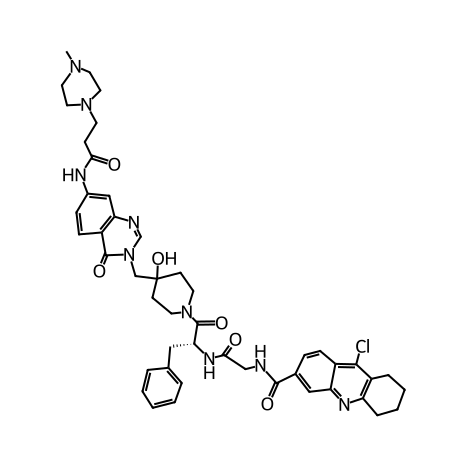 CN1CCN(CCC(=O)Nc2ccc3c(=O)n(CC4(O)CCN(C(=O)[C@@H](Cc5ccccc5)NC(=O)CNC(=O)c5ccc6c(Cl)c7c(nc6c5)CCCC7)CC4)cnc3c2)CC1